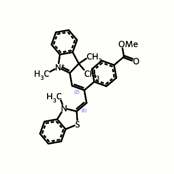 COC(=O)c1ccc(C(=C\C2=[N+](C)c3ccccc3C2(C)C)/C=C2/Sc3ccccc3N2C)cc1